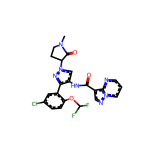 CN1CCC(n2cc(NC(=O)c3cnn4cccnc34)c(-c3cc(Cl)ccc3OC(F)F)n2)C1=O